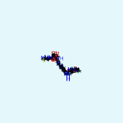 Cc1ncsc1-c1ccc(CNC(=O)[C@@H]2C[C@@H](O)CN2C(=O)[C@@H](NC(=O)CCN2CC(N3CCN(c4ccc(-c5cnc6[nH]cc(C(=O)c7c(F)ccc(NS(=O)(=O)N8CC[C@@H](F)C8)c7F)c6c5)cc4)CC3)C2)C(C)(C)C)cc1